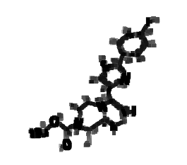 C/N=C1/C(C)N(C(=O)OC(C)(C)C)CCN1C(=N)c1csc(-c2ccc(F)cc2)n1